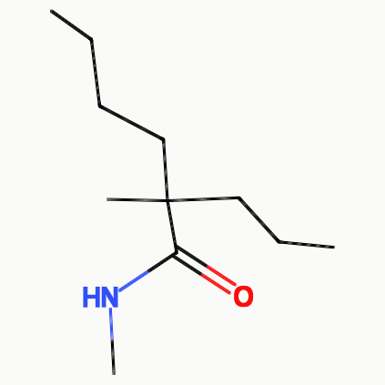 CCCCC(C)(CCC)C(=O)NC